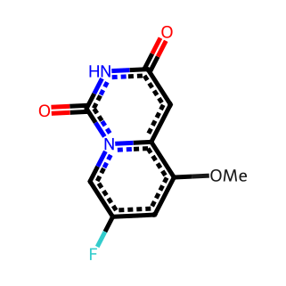 COc1cc(F)cn2c(=O)[nH]c(=O)cc12